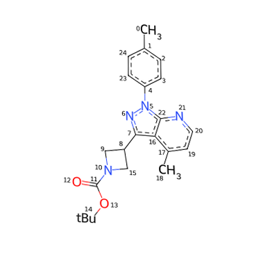 Cc1ccc(-n2nc(C3CN(C(=O)OC(C)(C)C)C3)c3c(C)ccnc32)cc1